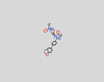 O=C(C1CC1)N1CC[C@@H](CN2C(=O)C3(CC3)N=C2c2ccc(-c3ccc4c(c3)CCCO4)cc2)C1